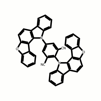 N#Cc1cc(-n2c3ccccc3c3ccc4oc5ccccc5c4c32)cc(C#N)c1-n1c2ccccc2c2ccc3oc4ccccc4c3c21